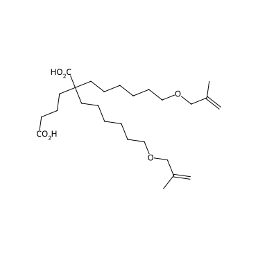 C=C(C)COCCCCCCC(CCCCCCOCC(=C)C)(CCCC(=O)O)C(=O)O